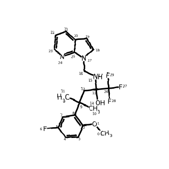 COc1ccc(F)cc1C(C)(C)CC(O)(NCn1ccc2cccnc21)C(F)(F)F